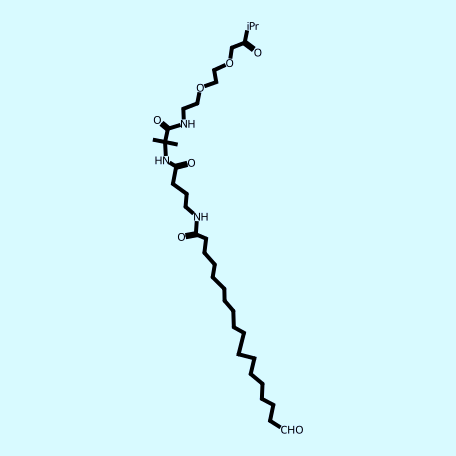 CC(C)C(=O)COCCOCCNC(=O)C(C)(C)NC(=O)CCCNC(=O)CCCCCCCCCCCCCCCCC=O